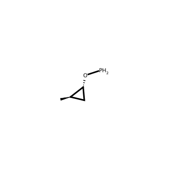 C[C@@H]1C[C@H]1OP